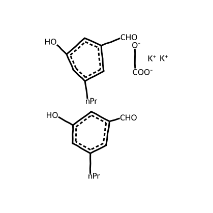 CCCc1cc(O)cc(C=O)c1.CCCc1cc(O)cc(C=O)c1.O=C([O-])[O-].[K+].[K+]